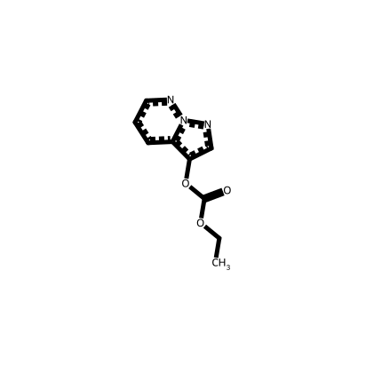 CCOC(=O)Oc1cnn2ncccc12